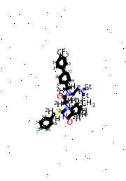 [2H]C([2H])(Sc1nc(=O)c2c(n1C([2H])([2H])C(=O)N(CCN(CC)CC)C([2H])([2H])c1ccc(-c3ccc(C(F)(F)F)cc3)cc1)C([2H])([2H])C([2H])(C)C2([2H])[2H])c1ccc(F)cc1